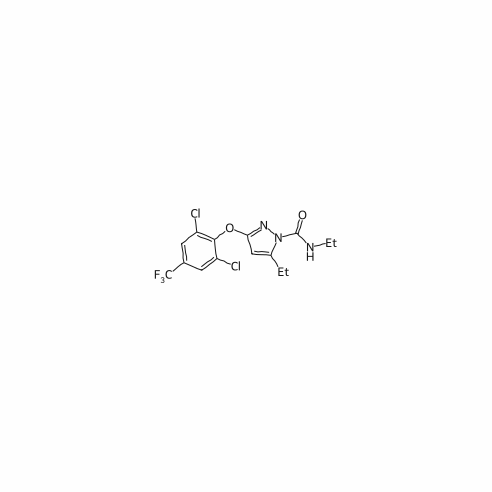 CCNC(=O)n1nc(Oc2c(Cl)cc(C(F)(F)F)cc2Cl)cc1CC